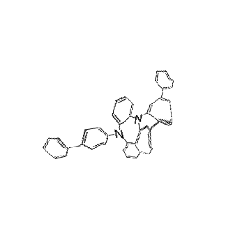 c1ccc(-c2ccc(-n3c4cccc5ccc6c7ccc(-c8ccccc8)cc7n(c7ccccc73)c6c54)cc2)cc1